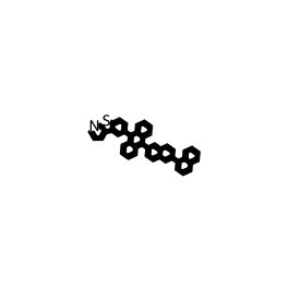 c1ccc2c(-c3ccc4cc(-c5c6ccccc6c(-c6ccc7sc8ncccc8c7c6)c6ccccc56)ccc4c3)cccc2c1